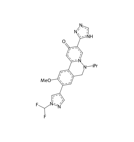 COc1cc2c(cc1-c1cnn(C(F)F)c1)CN(C(C)C)n1cc(-c3nnc[nH]3)c(=O)cc1-2